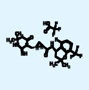 CC1(C)CC(=O)N(C[C@@H]2C[C@H]2C(=O)NC2CC(C)(C)Oc3c(C(F)(F)F)ccc(F)c32)C(=N)N1.O=C(O)C(F)(F)F